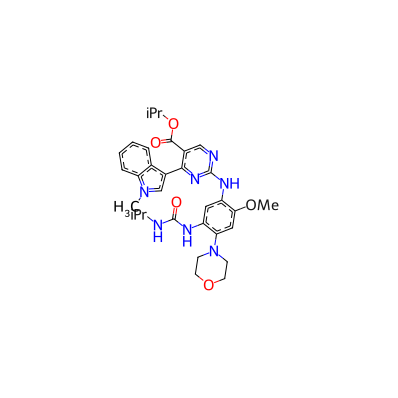 COc1cc(N2CCOCC2)c(NC(=O)NC(C)C)cc1Nc1ncc(C(=O)OC(C)C)c(-c2cn(C)c3ccccc23)n1